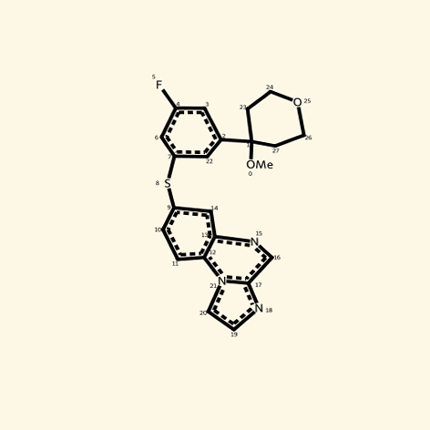 COC1(c2cc(F)cc(Sc3ccc4c(c3)ncc3nccn34)c2)CCOCC1